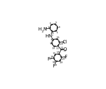 Nc1ccccc1Nc1ccc(C(=O)c2cc(F)c(F)cc2F)c(Cl)c1